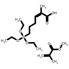 C=C(C)C(=O)OC.CCO[Si](CCCC=C(C)C(=O)O)(OCC)OCC